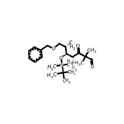 C[C@@H](COCc1ccccc1)[C@H](O[Si](C)(C)C(C)(C)C)[C@@H](C)C(=O)C(C)(C)C=O